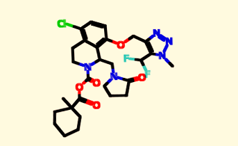 Cn1nnc(COc2ccc(Cl)c3c2C(CN2CCCC2=O)N(C(=O)OC(=O)C2(C)CCCCC2)CC3)c1C(F)F